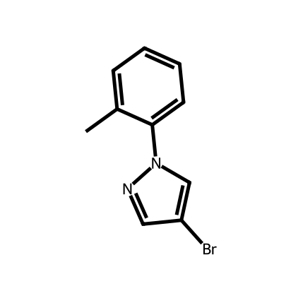 Cc1ccccc1-n1cc(Br)cn1